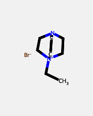 CC[N+]12CCN(CC1)CC2.[Br-]